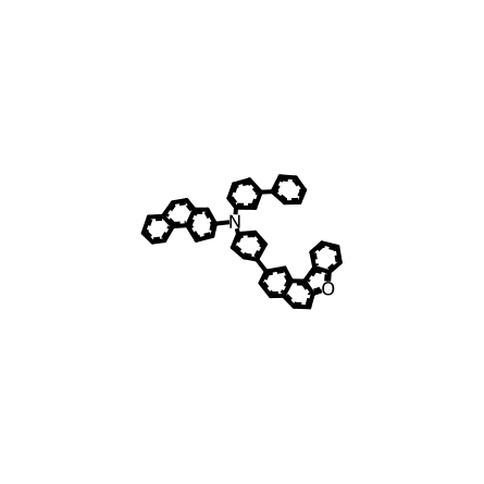 c1ccc(-c2cccc(N(c3ccc(-c4ccc5ccc6oc7ccccc7c6c5c4)cc3)c3ccc4c(ccc5ccccc54)c3)c2)cc1